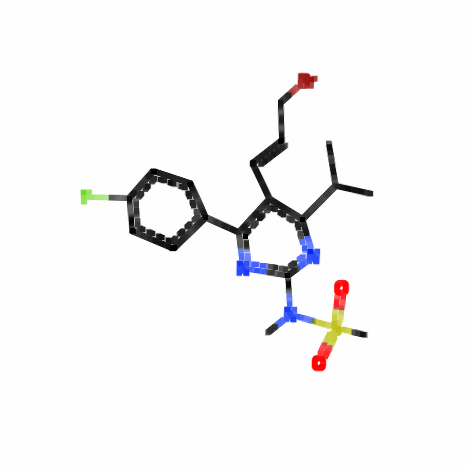 CC(C)c1nc(N(C)S(C)(=O)=O)nc(-c2ccc(F)cc2)c1C=CCBr